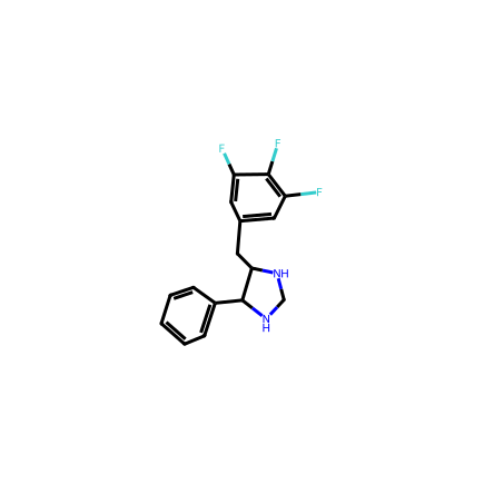 Fc1cc(CC2NCNC2c2ccccc2)cc(F)c1F